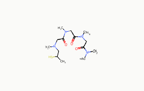 CCCCN(C)C(=O)CN(C)C(=O)CN(C)C(=O)CN(C)CC(C)S